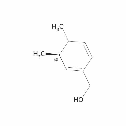 CC1C=CC(CO)=C[C@H]1C